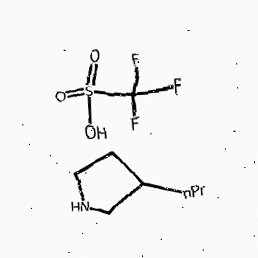 CCCC1CCNC1.O=S(=O)(O)C(F)(F)F